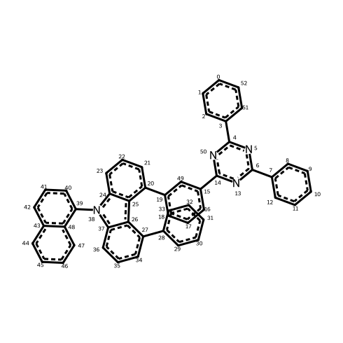 c1ccc(-c2nc(-c3ccccc3)nc(-c3cccc(-c4cccc5c4c4c(-c6ccccc6)cccc4n5-c4cccc5ccccc45)c3)n2)cc1